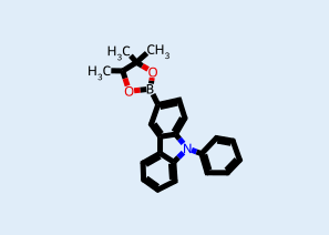 CC1OB(c2ccc3c(c2)c2ccccc2n3-c2ccccc2)OC1(C)C